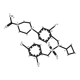 CC(=O)N1CCN(c2ccc(CN(C3CCC3)S(=O)(=O)Cc3ccc(Cl)cc3Cl)c(F)c2)CC1